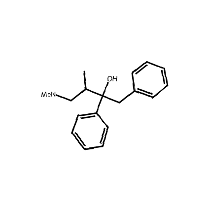 CNCC(C)C(O)(Cc1ccccc1)c1ccccc1